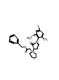 Cc1cc(F)cc(C)c1N1CCC([N+]2(CC(=O)OCc3ccccc3)CCCC2)C1=O